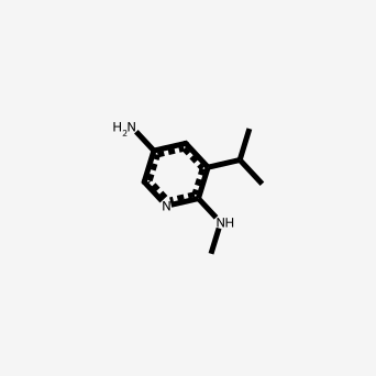 CNc1ncc(N)cc1C(C)C